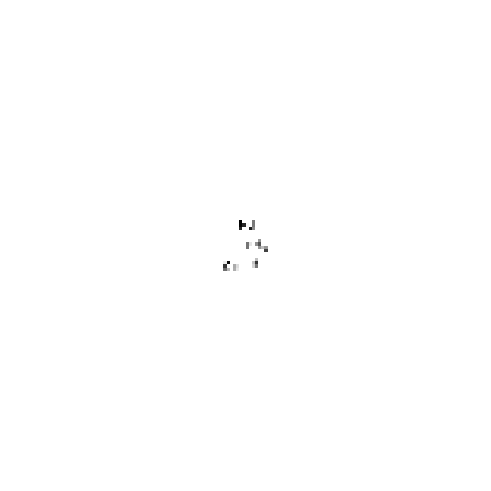 [Cd].[Ce].[InH3].[Nd]